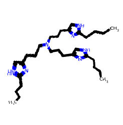 CCCCc1nc(CCCN(CCCc2c[nH]c(CCCC)n2)CCCc2c[nH]c(CCCC)n2)c[nH]1